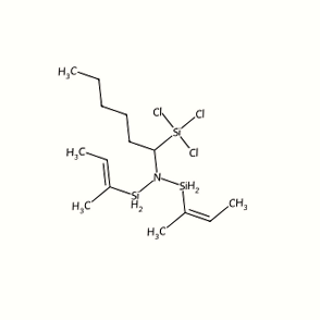 CC=C(C)[SiH2]N([SiH2]C(C)=CC)C(CCCCC)[Si](Cl)(Cl)Cl